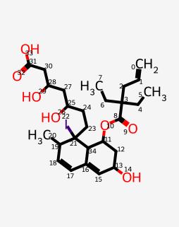 C=CCC(CC)(CC)C(=O)OC1CC(O)C=C2C=CC(C)C(I)(CCC(O)CC(O)CC(=O)O)C21